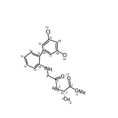 COC(=O)[C@H](C)NC(=O)CNc1ccccc1-c1cc(Cl)cc(Cl)c1